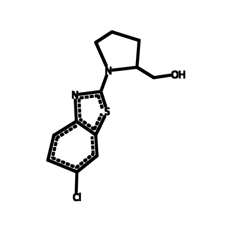 OCC1CCCN1c1nc2ccc(Cl)cc2s1